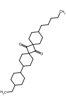 CCCCCC1CCC2(CC1)C(=O)C1(CCC(C3CCC(CC)CC3)CC1)C2=O